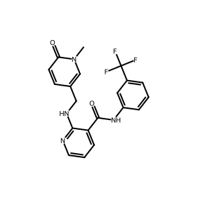 Cn1cc(CNc2ncccc2C(=O)Nc2cccc(C(F)(F)F)c2)ccc1=O